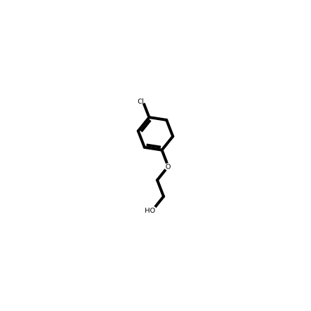 OCCOC1=CC=C(Cl)CC1